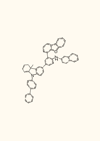 CC12CC=CC=C1N(c1ccc(-c3ccccc3)cc1)c1ccc(-c3ccc(Nc4ccc5ccccc5c4)c(-c4cccc5c4oc4ccccc45)c3)cc12